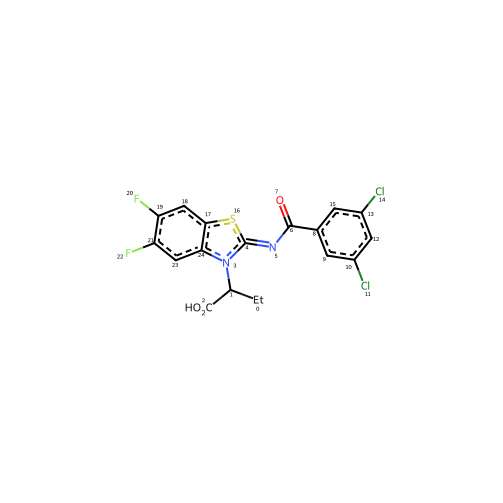 CCC(C(=O)O)n1/c(=N/C(=O)c2cc(Cl)cc(Cl)c2)sc2cc(F)c(F)cc21